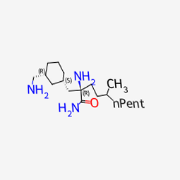 CCCCCC(C)CC[C@@](N)(C[C@H]1CCC[C@@H](CN)C1)C(N)=O